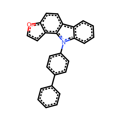 c1ccc(-c2ccc(-n3c4ccccc4c4ccc5occc5c43)cc2)cc1